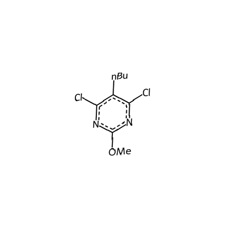 CCCCc1c(Cl)nc(OC)nc1Cl